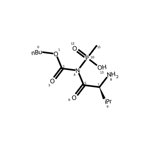 CCCCOC(=O)N(C(=O)[C@@H](N)C(C)C)P(C)(=O)O